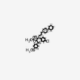 COc1ccc([C@@H]2Sc3cc(Cl)ccc3N(CCCN3CCN(C4CCCCC4)CC3)C(=O)C2OC(C)=O)cc1